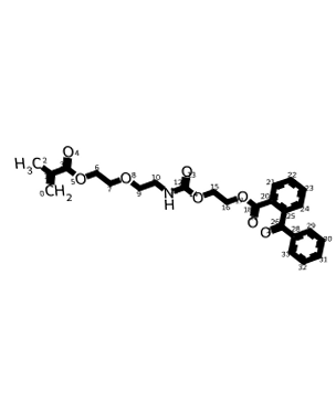 C=C(C)C(=O)OCCOCCNC(=O)OCCOC(=O)c1ccccc1C(=O)c1ccccc1